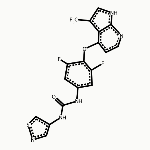 O=C(Nc1cnsc1)Nc1cc(F)c(Oc2ccnc3[nH]cc(C(F)(F)F)c23)c(F)c1